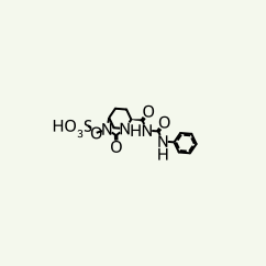 O=C(NC(=O)[C@@H]1CCC2CN1C(=O)N2OS(=O)(=O)O)Nc1ccccc1